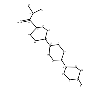 CC1CCN(C2CCN(C3CCC(C(=O)C(C)C)CC3)CC2)CC1